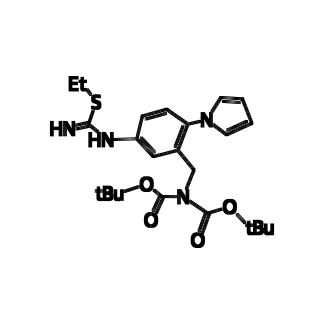 CCSC(=N)Nc1ccc(-n2cccc2)c(CN(C(=O)OC(C)(C)C)C(=O)OC(C)(C)C)c1